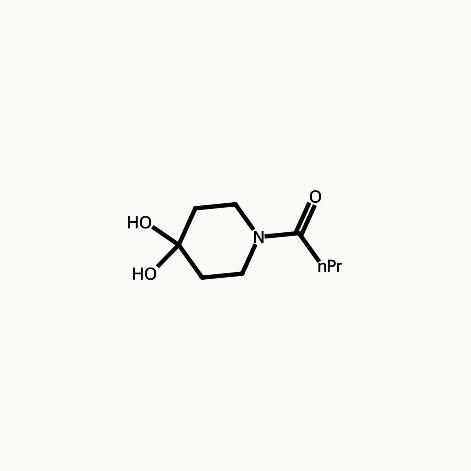 CCCC(=O)N1CCC(O)(O)CC1